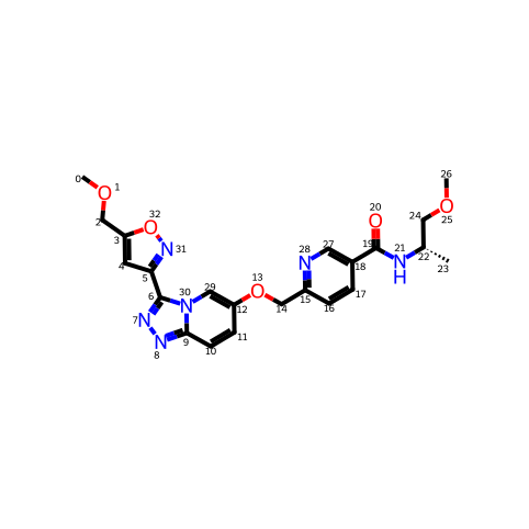 COCc1cc(-c2nnc3ccc(OCc4ccc(C(=O)N[C@@H](C)COC)cn4)cn23)no1